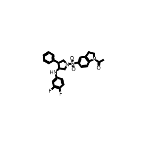 CC(=O)N1CCc2cc(S(=O)(=O)N3CC(Nc4ccc(F)c(F)c4)C(c4ccccc4)C3)ccc21